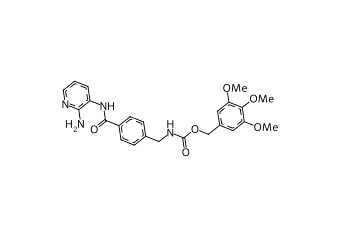 COc1cc(COC(=O)NCc2ccc(C(=O)Nc3cccnc3N)cc2)cc(OC)c1OC